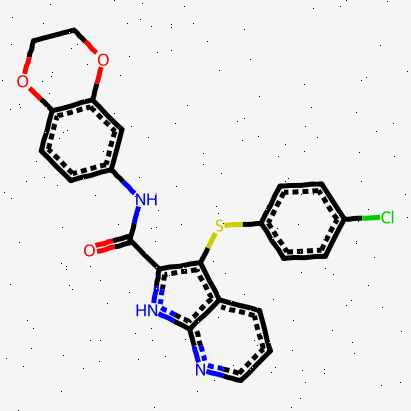 O=C(Nc1ccc2c(c1)OCCO2)c1[nH]c2ncccc2c1Sc1ccc(Cl)cc1